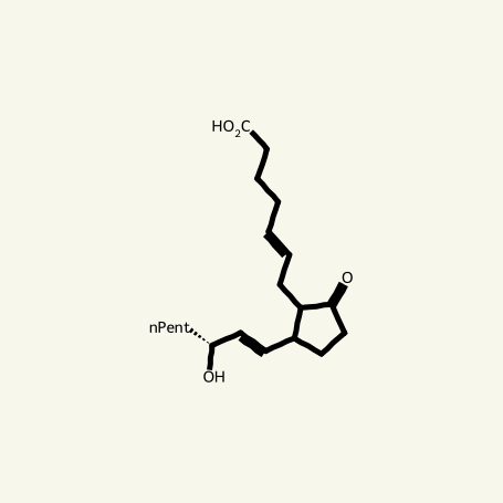 CCCCC[C@@H](O)C=CC1CCC(=O)C1CC=CCCCC(=O)O